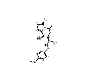 COc1ccc(CN/C(=C2/CC(C)n3c(cnc3C(C)=O)C2=N)C(F)(F)F)cc1